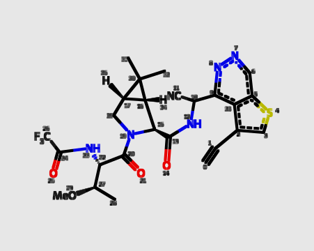 C#Cc1csc2cnnc(C(C#N)NC(=O)[C@@H]3[C@@H]4[C@H](CN3C(=O)[C@@H](NC(=O)C(F)(F)F)[C@@H](C)OC)C4(C)C)c12